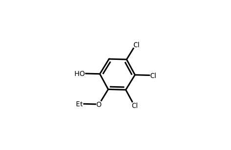 CCOc1c(O)cc(Cl)c(Cl)c1Cl